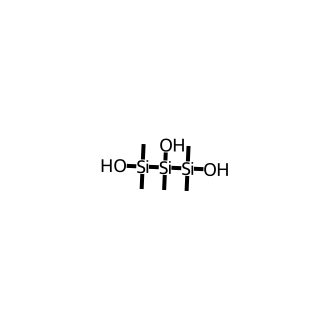 C[Si](C)(O)[Si](C)(O)[Si](C)(C)O